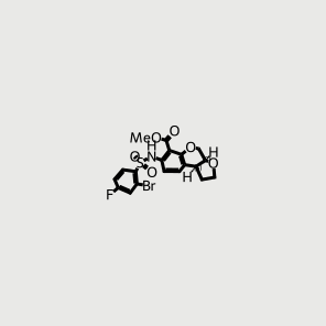 COC(=O)c1c(NS(=O)(=O)c2ccc(F)cc2Br)ccc2c1OC[C@H]1OCC[C@@H]21